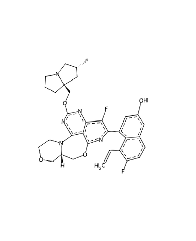 C=Cc1c(F)ccc2cc(O)cc(-c3nc4c5c(nc(OC[C@@]67CCCN6C[C@H](F)C7)nc5c3F)N3CCOC[C@H]3CO4)c12